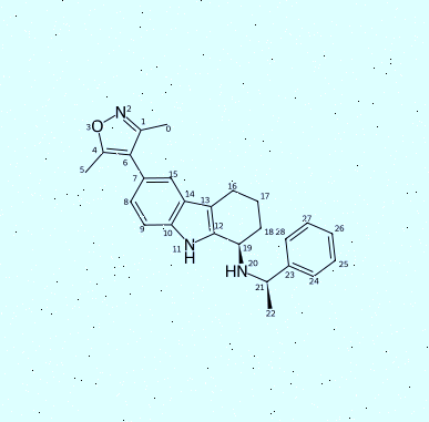 Cc1noc(C)c1-c1ccc2[nH]c3c(c2c1)CCC[C@H]3N[C@H](C)c1ccccc1